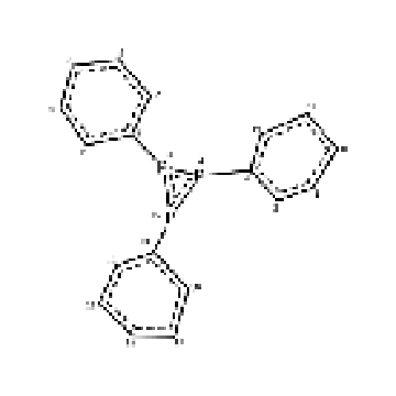 c1ccc(-p2p(-c3ccccc3)p2-c2ccccc2)cc1